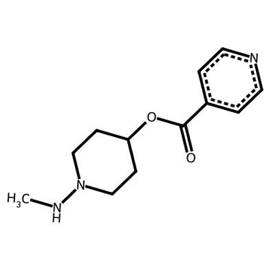 CNN1CCC(OC(=O)c2ccncc2)CC1